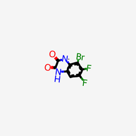 O=C1[N]c2c(cc(F)c(F)c2Br)NC1=O